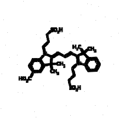 CC1(C)C(/C=C/C=C2/N(CCCS(=O)(=O)O)c3ccc(C(=O)O)cc3C2(C)C)=[N+](CCCS(=O)(=O)O)c2ccccc21